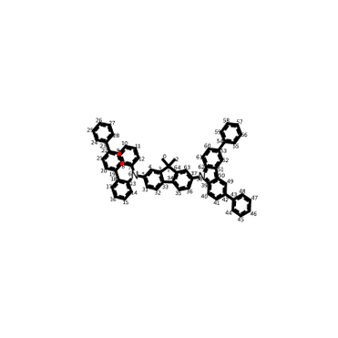 CC1(C)c2cc(N(c3ccccc3)c3ccccc3-c3ccc(-c4ccccc4)cc3)ccc2-c2ccc(-n3c4ccc(-c5ccccc5)cc4c4cc(-c5ccccc5)ccc43)cc21